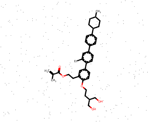 C=C(C)C(=O)OCCc1cc(-c2ccc(-c3ccc(C4CCC(C)CC4)cc3)cc2CC)ccc1OCCC(CO)CO